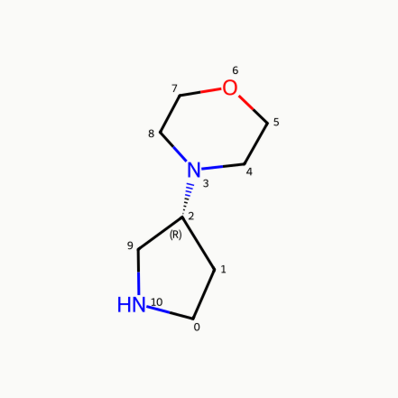 C1C[C@@H](N2CCOCC2)CN1